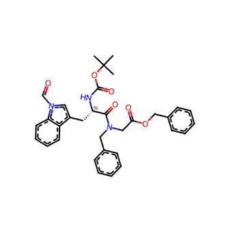 CC(C)(C)OC(=O)N[C@@H](Cc1cn(C=O)c2ccccc12)C(=O)N(CC(=O)OCc1ccccc1)Cc1ccccc1